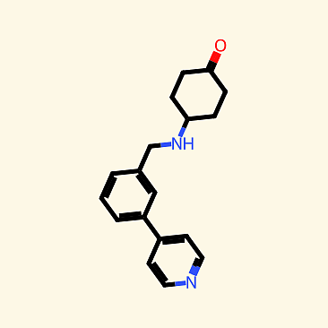 O=C1CCC(NCc2cccc(-c3ccncc3)c2)CC1